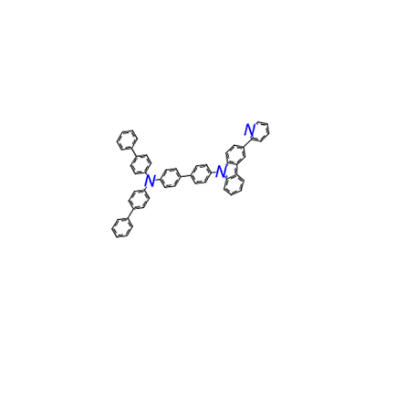 c1ccc(-c2ccc(N(c3ccc(-c4ccccc4)cc3)c3ccc(-c4ccc(-n5c6ccccc6c6cc(-c7ccccn7)ccc65)cc4)cc3)cc2)cc1